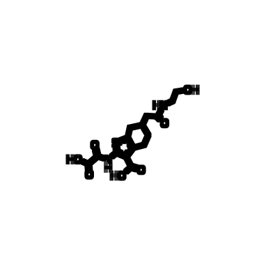 O=C(CC1CCc2c(sc(NC(=O)C(=O)O)c2C(=O)O)C1)NCCO